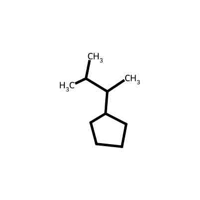 C[C](C)C(C)C1CCCC1